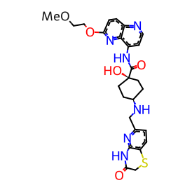 COCCOc1ccc2nccc(NC(=O)[C@]3(O)CC[C@@H](NCc4ccc5c(n4)NC(=O)CS5)CC3)c2n1